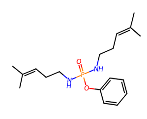 CC(C)=CCCNP(=O)(NCCC=C(C)C)Oc1ccccc1